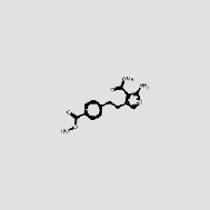 COC(=O)c1c(CCc2ccc(C(=O)OC(C)(C)C)cc2)coc1N